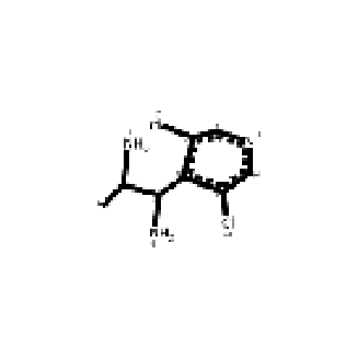 CC(N)C(N)c1c(Cl)cncc1Cl